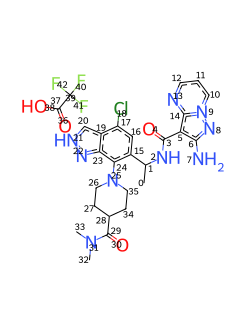 CC(NC(=O)c1c(N)nn2cccnc12)c1cc(Cl)c2c[nH]nc2c1N1CCC(C(=O)N(C)C)CC1.O=C(O)C(F)(F)F